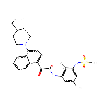 CCCS(=O)(=O)Nc1cc(C(C)(C)C)cc(NC(=O)C(=O)c2ccc(N3CCC(CC(=O)OCC)CC3)c3ccccc23)c1OC